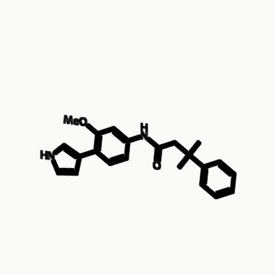 COc1cc(NC(=O)CC(C)(C)c2ccccc2)ccc1-c1cc[nH]c1